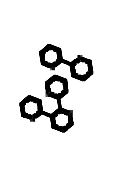 c1ccc(-c2ccccn2)nc1.c1ccc(-c2cccnc2-c2ccccn2)nc1